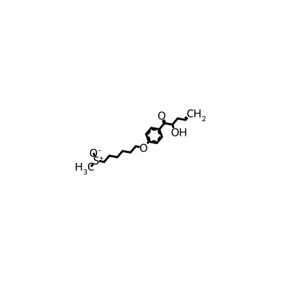 C=CCC(O)C(=O)c1ccc(OCCCCCC[S+](C)[O-])cc1